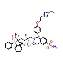 C[C@@H]1Cc2cc(S(N)(=O)=O)ccc2[C@@H](c2ccc(OCCN3CC(CF)C3)cc2)N1CC(F)(F)CCC(C)(C)[Si](O)(c1ccccc1)c1ccccc1